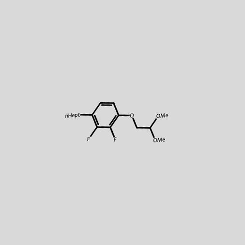 CCCCCCCc1ccc(OCC(OC)OC)c(F)c1F